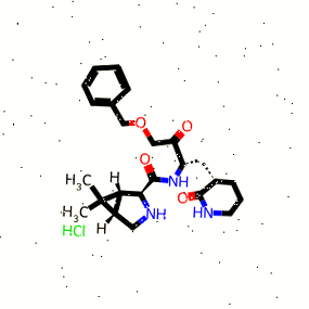 CC1(C)[C@@H]2[C@@H](C(=O)N[C@@H](C[C@@H]3CCCNC3=O)C(=O)COCc3ccccc3)NC[C@@H]21.Cl